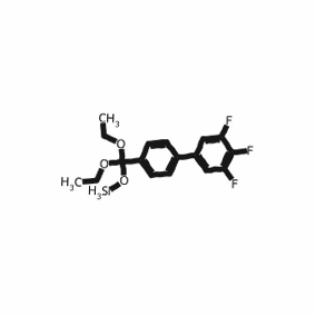 CCOC(O[SiH3])(OCC)c1ccc(-c2cc(F)c(F)c(F)c2)cc1